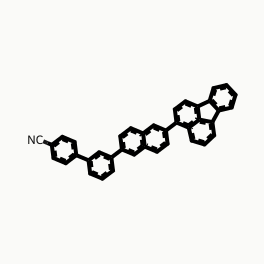 N#Cc1ccc(-c2cccc(-c3ccc4cc(-c5ccc6c7c(cccc57)-c5ccccc5-6)ccc4c3)c2)cc1